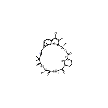 Cc1c2nc3c(C)c(ccc3c1Cl)/C=C/C(C)(C)C(=O)N[C@@H](C(C)C)C(=O)N[C@@H](C)C(=O)N1CCC[C@H](N1)C(=O)O[C@@H]2C